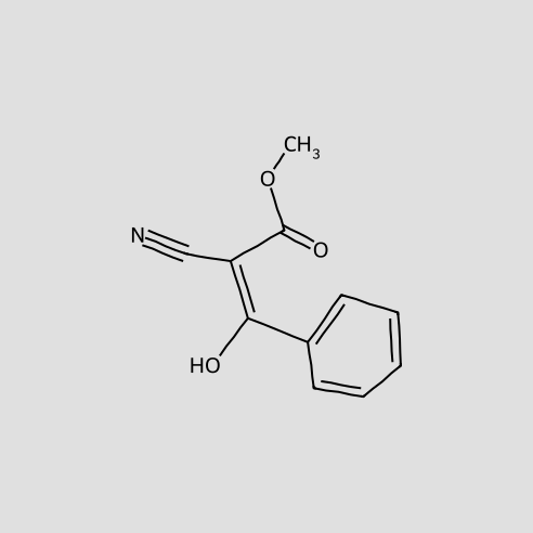 COC(=O)C(C#N)=C(O)c1ccccc1